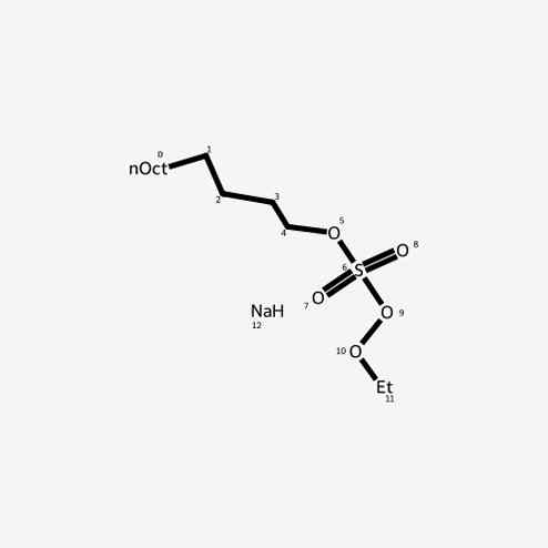 CCCCCCCCCCCCOS(=O)(=O)OOCC.[NaH]